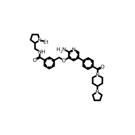 CCN1CCCC1CNC(=O)c1cccc(COc2cc(-c3ccc(C(=O)N4CCC(N5CCCC5)CC4)cc3)cnc2N)c1